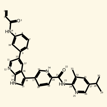 C=CC(=O)Nc1cccc(-c2cnc3[nH]cc(-c4ccc(C(=O)Nc5ncc(C(C)C)cc5C)nc4)c3c2)c1